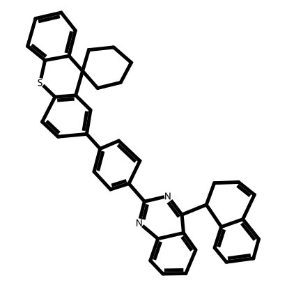 C1=Cc2ccccc2C(c2nc(-c3ccc(-c4ccc5c(c4)C4(CCCCC4)c4ccccc4S5)cc3)nc3ccccc23)C1